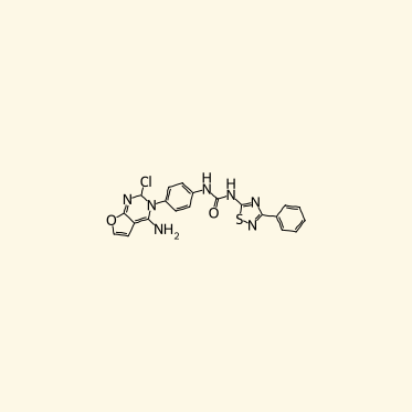 NC1=c2ccoc2=NC(Cl)N1c1ccc(NC(=O)Nc2nc(-c3ccccc3)ns2)cc1